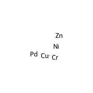 [Cr].[Cu].[Ni].[Pd].[Zn]